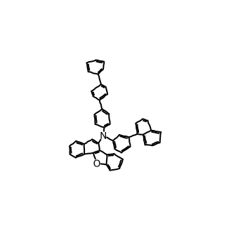 c1ccc(-c2ccc(-c3ccc(N(c4cccc(-c5cccc6ccccc56)c4)c4cc5ccccc5c5oc6ccccc6c45)cc3)cc2)cc1